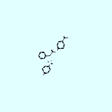 O=C(NO)c1ccc(NC(=O)[C@@H](NS(=O)(=O)c2ccc(C(F)(F)F)cc2)c2ccccc2)cc1